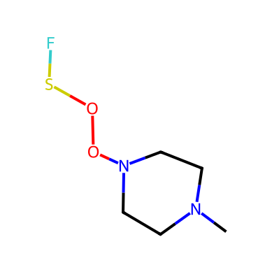 CN1CCN(OOSF)CC1